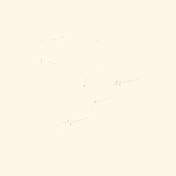 CNCC(CNC)CSP(=O)(OS)OS